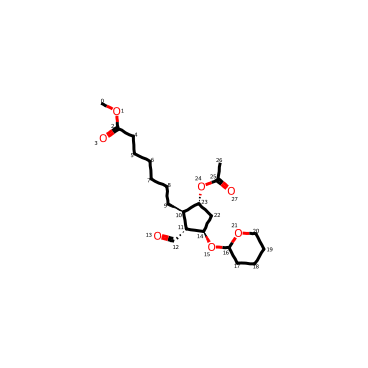 COC(=O)CCCCCC[C@@H]1[C@@H](C=O)[C@H](OC2CCCCO2)C[C@H]1OC(C)=O